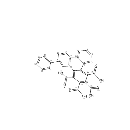 O=C(O)c1cc(-c2ccccc2-c2ccc(-c3ccccc3)cc2)c(C(=O)O)c(C(=O)O)c1C(=O)O